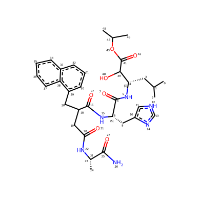 CC(C)C[C@H](NC(=O)[C@H](Cc1c[nH]cn1)NC(=O)C(CC(=O)N[C@@H](C)C(N)=O)Cc1cccc2ccccc12)C(O)C(=O)OC(C)C